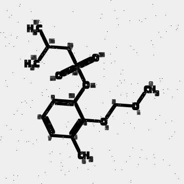 COCOc1c(C)cccc1OS(=O)(=O)[CH]C(C)C